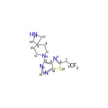 FC(F)(F)Cc1nc2c(N3CCC4(CC3)CNC4)ncnc2s1